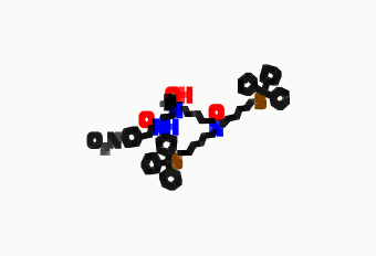 CB(O)N(CCCCC(=O)N(CCCCCCSC(c1ccccc1)(c1ccccc1)c1ccccc1)CCCCCCSC(c1ccccc1)(c1ccccc1)c1ccccc1)CCNC(=O)Cc1ccc([N+](=O)[O-])cc1